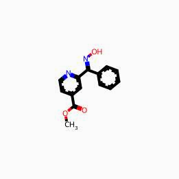 COC(=O)c1ccnc(/C(=N/O)c2ccccc2)c1